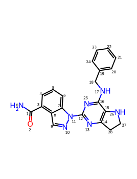 NC(=O)c1cccc2c1cnn2-c1nc2c(c(NCc3ccccc3)n1)NCC2